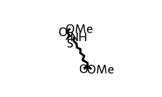 COC(=O)CCCCCCCC1NC(C(=O)OC)CS1